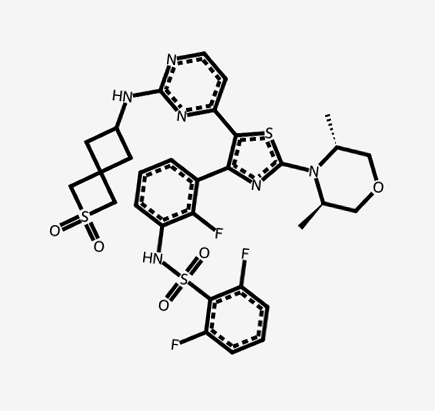 C[C@@H]1COC[C@@H](C)N1c1nc(-c2cccc(NS(=O)(=O)c3c(F)cccc3F)c2F)c(-c2ccnc(NC3CC4(C3)CS(=O)(=O)C4)n2)s1